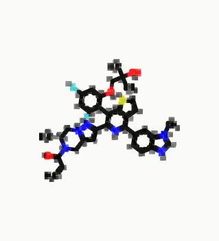 C=CC(=O)N1Cc2cc(-c3nc(-c4ccc5ncn(C)c5c4)c4ccsc4c3-c3c(F)cc(F)cc3OCC(C)(C)O)nn2C[C@H]1C